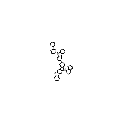 c1ccc(-c2cccc(-n3c4ccccc4c4cc(-c5ccc6c(c5)c5cc7sc8ccccc8c7cc5n6-c5cccc6ccccc56)ccc43)c2)cc1